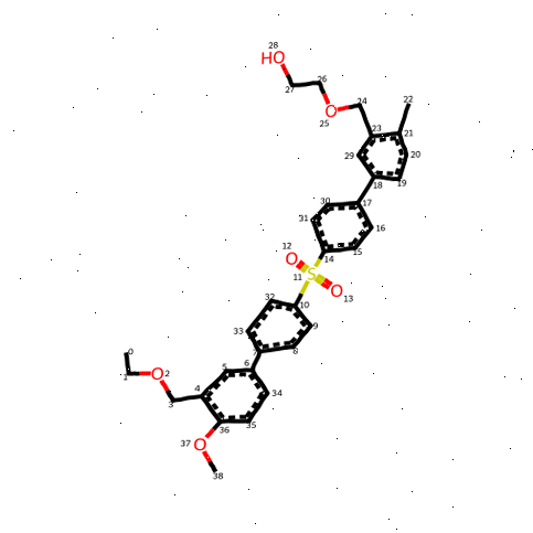 CCOCc1cc(-c2ccc(S(=O)(=O)c3ccc(-c4ccc(C)c(COCCO)c4)cc3)cc2)ccc1OC